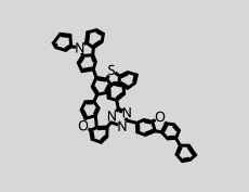 c1ccc(-c2ccc3oc4cc(-c5nc(-c6ccccc6)nc(-c6cccc7oc8ccc(-c9cc(-c%10ccc%11c(c%10)c%10ccccc%10n%11-c%10ccccc%10)c%10sc%11ccccc%11c%10c9)cc8c67)n5)ccc4c3c2)cc1